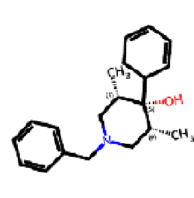 C[C@@H]1CN(Cc2ccccc2)C[C@H](C)[C@@]1(O)C1C=CC=CC1